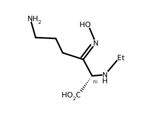 CCN[C@H](C(=O)O)C(CCCN)=NO